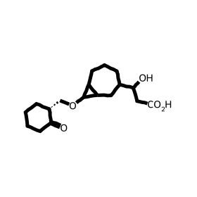 O=C(O)CC(O)C1CCCC2C(C1)C2OC[C@H]1CCCCC1=O